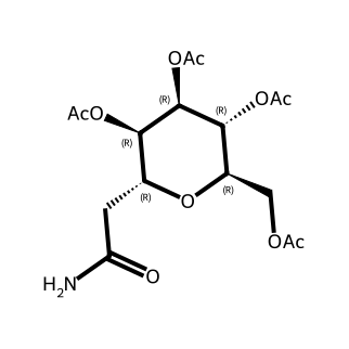 CC(=O)OC[C@H]1O[C@H](CC(N)=O)[C@@H](OC(C)=O)[C@@H](OC(C)=O)[C@@H]1OC(C)=O